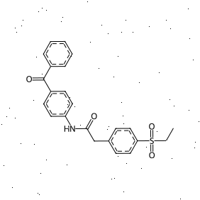 CCS(=O)(=O)c1ccc(CC(=O)Nc2ccc(C(=O)c3ccccc3)cc2)cc1